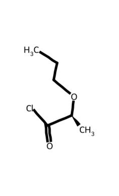 CCCO[C@@H](C)C(=O)Cl